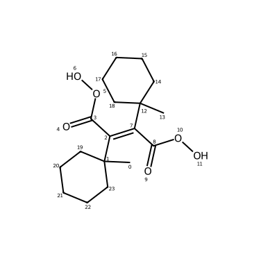 CC1(C(C(=O)OO)=C(C(=O)OO)C2(C)CCCCC2)CCCCC1